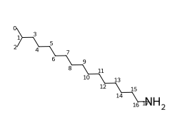 CC(C)CCCCCCCCCCCCCCN